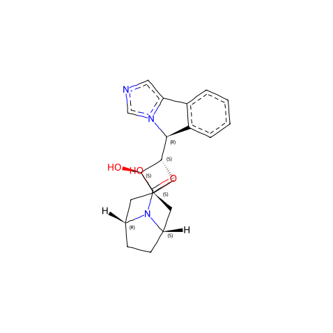 O=C(O)N1[C@@H]2CC[C@H]1C[C@@]1(C[C@@H]([C@@H]3c4ccccc4-c4cncn43)[C@@H]1O)C2